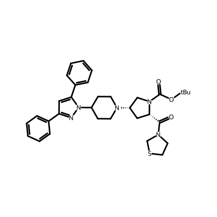 CC(C)(C)OC(=O)N1C[C@@H](N2CCC(n3nc(-c4ccccc4)cc3-c3ccccc3)CC2)C[C@H]1C(=O)N1CCSC1